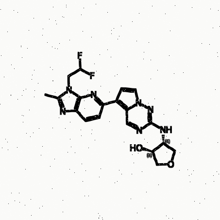 Cc1nc2ccc(-c3ccn4nc(N[C@@H]5COC[C@H]5O)ncc34)nc2n1CC(F)F